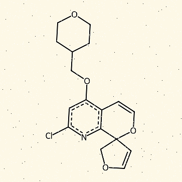 Clc1cc(OCC2CCOCC2)c2c(n1)C1(C=COC1)OC=C2